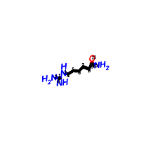 N=C(N)NCCCCCC(N)=O